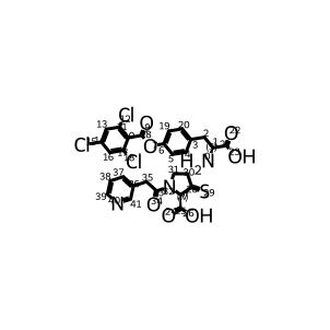 N[C@@H](Cc1ccc(OC(=O)c2c(Cl)cc(Cl)cc2Cl)cc1)C(=O)O.O=C(O)[C@@H]1C(=S)CCN1C(=O)Cc1cccnc1